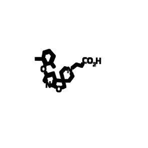 Cc1cccc(C)c1Oc1cnc2c(c1)C1(CCN(CCC(=O)O)CC1)CO2